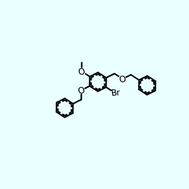 COc1cc(COCc2ccccc2)c(Br)cc1OCc1ccccc1